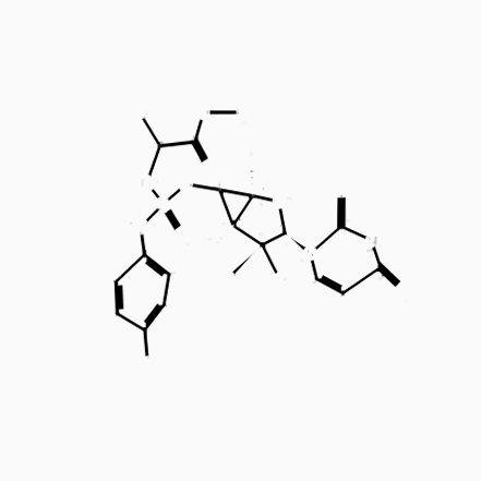 CC(C)OC(=O)C(C)NP(=O)(Oc1ccc(Cl)cc1)OC1[C@]2(O)[C@@](C)(O)[C@H](n3ccc(=O)[nH]c3=O)O[C@]12F